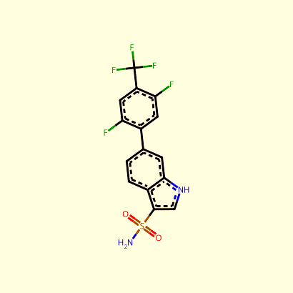 NS(=O)(=O)c1c[nH]c2cc(-c3cc(F)c(C(F)(F)F)cc3F)ccc12